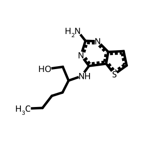 CCCCC(CO)Nc1nc(N)nc2ccsc12